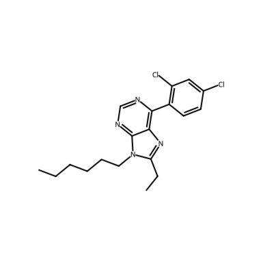 CCCCCCn1c(CC)nc2c(-c3ccc(Cl)cc3Cl)ncnc21